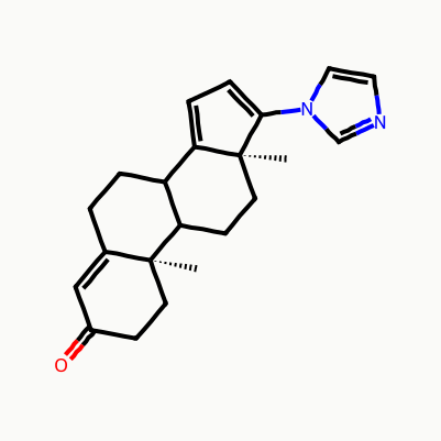 C[C@]12CCC3C(CCC4=CC(=O)CC[C@@]43C)C1=CC=C2n1ccnc1